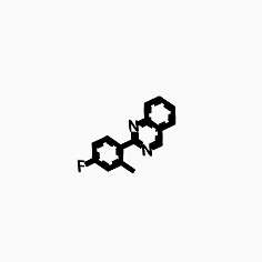 Cc1cc(F)ccc1-c1ncc2ccccc2n1